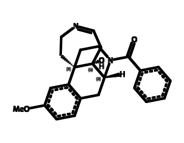 COc1ccc2c(c1)[C@]13CCN=CC[C@@]1(O)[C@@H](C2)N(C(=O)c1ccccc1)CC3